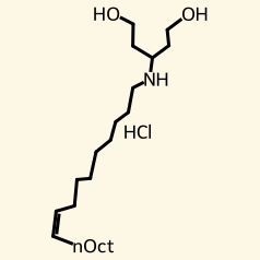 CCCCCCCC/C=C\CCCCCCCCNC(CCO)CCO.Cl